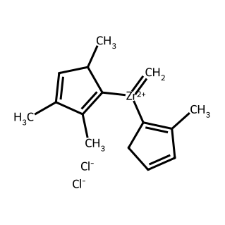 [CH2]=[Zr+2]([C]1=C(C)C=CC1)[C]1=C(C)C(C)=CC1C.[Cl-].[Cl-]